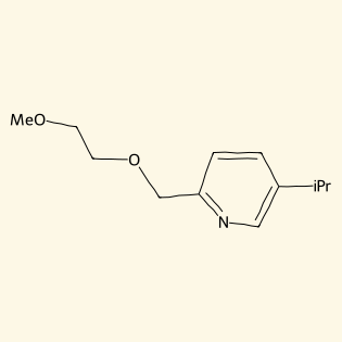 COCCOCc1ccc(C(C)C)cn1